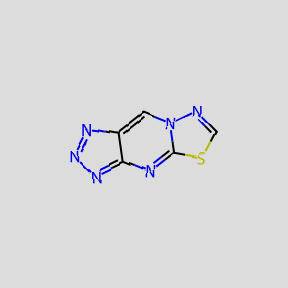 c1nn2cc3nnnc-3nc2s1